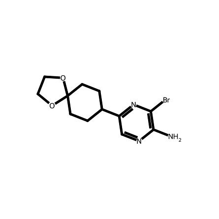 Nc1ncc(C2CCC3(CC2)OCCO3)nc1Br